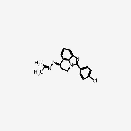 CC(C)=NN=C1CCn2c(-c3ccc(Cl)cc3)nc3cccc1c32